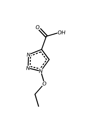 CCOn1cc(C(=O)O)nn1